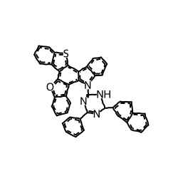 c1ccc(C2=NC(c3ccc4ccccc4c3)NC(n3c4ccccc4c4c5sc6ccccc6c5c5oc6ccccc6c5c43)=N2)cc1